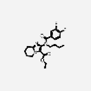 CCCCN(C(=O)c1ccc(F)c(F)c1)c1nc2n(c1C(=O)OCC)CCCC2